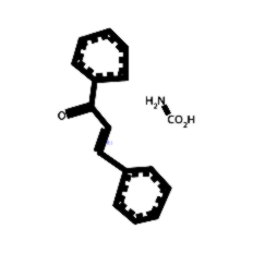 NC(=O)O.O=C(/C=C/c1ccccc1)c1ccccc1